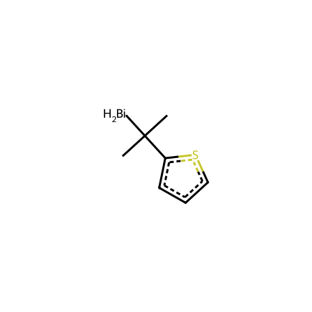 C[C](C)([BiH2])c1cccs1